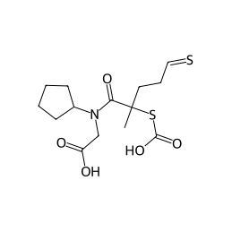 CC(CCC=S)(SC(=O)O)C(=O)N(CC(=O)O)C1CCCC1